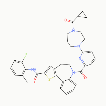 Cc1cccc(F)c1NC(=O)c1cc2c(s1)-c1ccccc1N(C(=O)c1cccc(N3CCCN(C(=O)C4CC4)CC3)n1)CC2